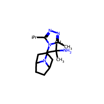 Cc1nnc(C(C)C)n1C1CC2CCC(C1)N2CC(C)(C)N